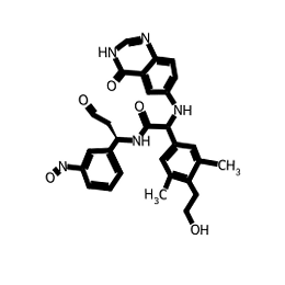 Cc1cc(C(Nc2ccc3nc[nH]c(=O)c3c2)C(=O)N[C@H](CC=O)c2cccc(N=O)c2)cc(C)c1CCO